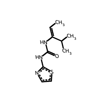 C/C=C(/NC(=O)Nc1nccs1)C(C)C